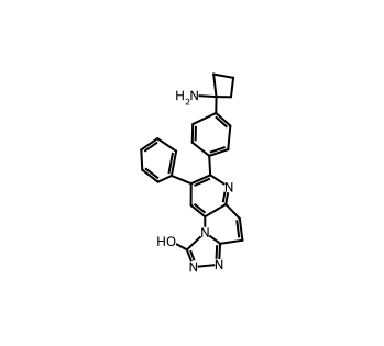 NC1(c2ccc(-c3nc4ccc5nnc(O)n5c4cc3-c3ccccc3)cc2)CCC1